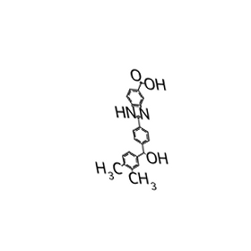 Cc1ccc(C(O)c2ccc(-c3nc4cc(C(=O)O)ccc4[nH]3)cc2)cc1C